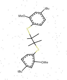 COc1cc(C(C)(C)C)ccc1SC(C)(C)C(C)(C)Sc1ccc(C(C)(C)C)cc1OC